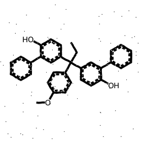 CCC(c1ccc(OC)cc1)(c1ccc(O)c(-c2ccccc2)c1)c1ccc(O)c(-c2ccccc2)c1